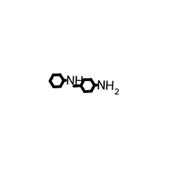 NC1CCC(CNC2CCCCC2)CC1